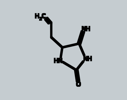 C=CCC1NC(=O)NC1=N